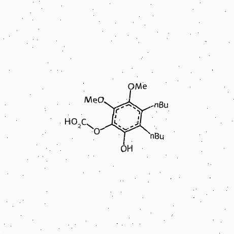 CCCCc1c(O)c(OC(=O)O)c(OC)c(OC)c1CCCC